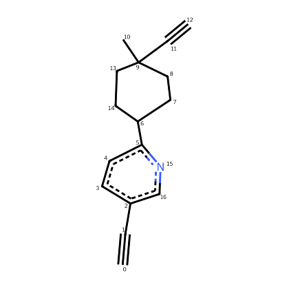 C#Cc1ccc(C2CCC(C)(C#C)CC2)nc1